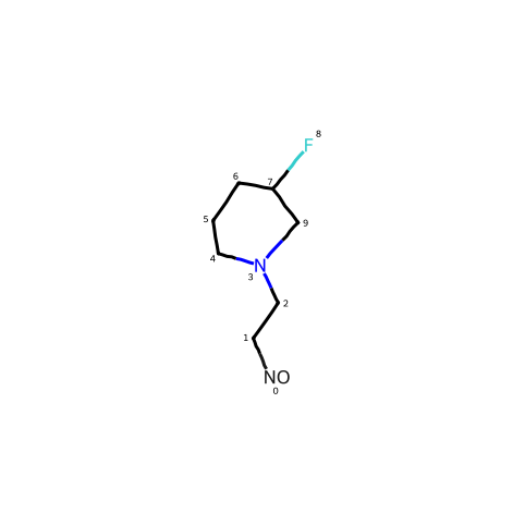 O=NCCN1CCCC(F)C1